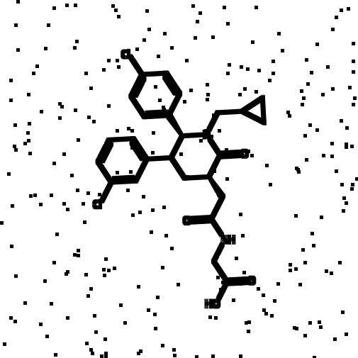 O=C(O)CNC(=O)C[C@H]1CC(c2cccc(Cl)c2)[C@@H](c2ccc(Cl)cc2)N(CC2CC2)C1=O